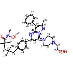 CON(C)C(=O)C(C)(C)CC(C)(C)Cc1ccc(-c2cc(N3CCN(CCO)CC3)n3nc(C)c(-c4ccccc4)c3n2)cc1